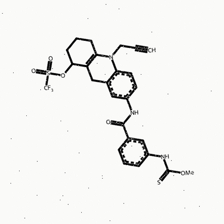 C#CCN1C2=C(Cc3cc(NC(=O)c4cccc(NC(=S)OC)c4)ccc31)C(OS(=O)(=O)C(F)(F)F)CCC2